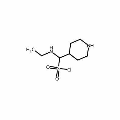 CCNC(C1CCNCC1)S(=O)(=O)Cl